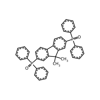 CC1(C)c2cc(P(=O)(c3ccccc3)c3ccccc3)ccc2-c2ccc(P(=O)(c3ccccc3)c3ccccc3)cc21